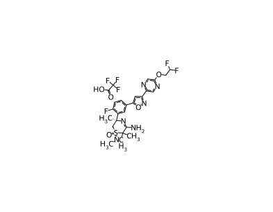 CN=[S@@]1(=O)C[C@@](C)(c2cc(-c3cc(-c4cnc(OCC(F)F)cn4)no3)ccc2F)N=C(N)C1(C)C.O=C(O)C(F)(F)F